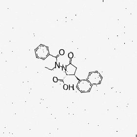 CCN(C(=O)c1ccccc1)N1C(=O)C[C@@H](c2cccc3ccccc23)[C@@H]1C(=O)O